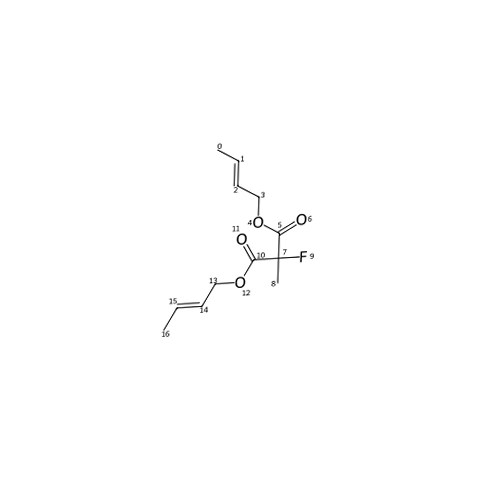 C/C=C/COC(=O)C(C)(F)C(=O)OC/C=C/C